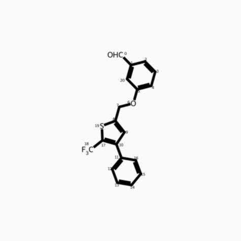 O=Cc1cccc(OCc2cc(-c3ccccc3)c(C(F)(F)F)s2)c1